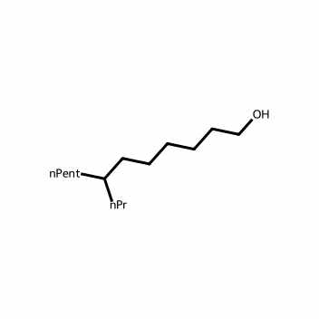 CCCCCC(CCC)CCCCCCO